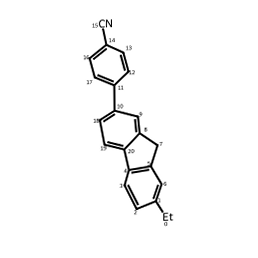 CCc1ccc2c(c1)Cc1cc(-c3ccc(C#N)cc3)ccc1-2